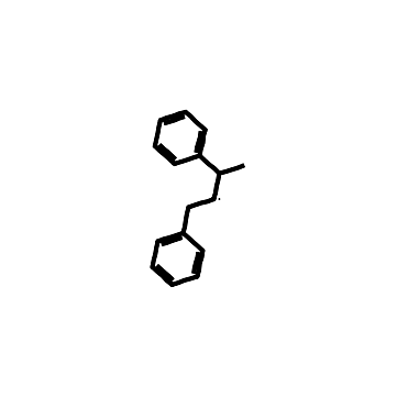 CC([CH]Cc1ccccc1)c1ccccc1